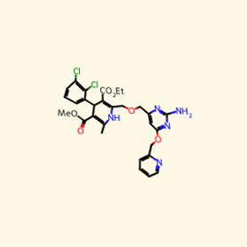 CCOC(=O)C1=C(COCc2cc(OCc3ccccn3)nc(N)n2)NC(C)=C(C(=O)OC)C1c1cccc(Cl)c1Cl